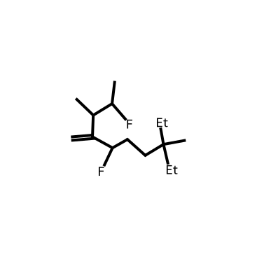 C=C(C(F)CCC(C)(CC)CC)C(C)C(C)F